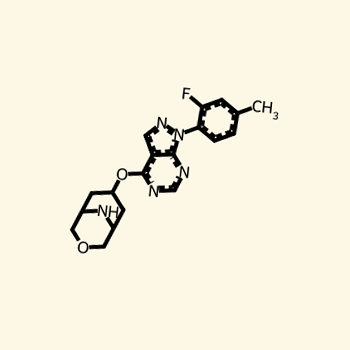 Cc1ccc(-n2ncc3c(OC4CC5COCC(C4)N5)ncnc32)c(F)c1